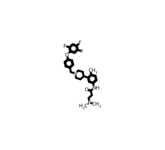 Cc1ccc(NC(=O)CCN(C)C)cc1C1CCN(Cc2ccc(Oc3cc(F)c(F)cc3F)cc2)CC1